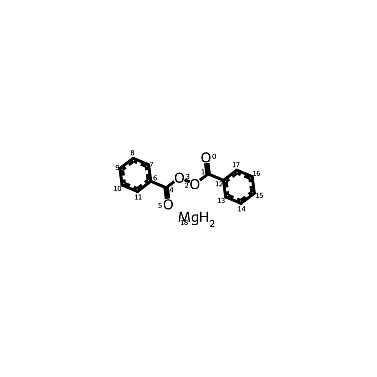 O=C(OOC(=O)c1ccccc1)c1ccccc1.[MgH2]